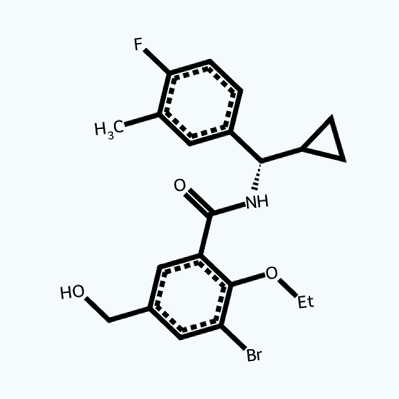 CCOc1c(Br)cc(CO)cc1C(=O)N[C@H](c1ccc(F)c(C)c1)C1CC1